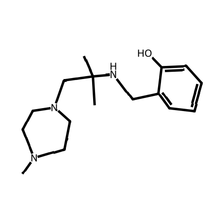 CN1CCN(CC(C)(C)NCc2ccccc2O)CC1